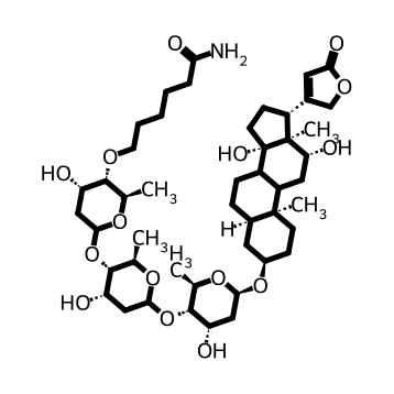 C[C@H]1OC(O[C@H]2[C@@H](O)CC(O[C@H]3[C@@H](O)C[C@H](O[C@@H]4CC[C@]5(C)C6C[C@@H](O)[C@]7(C)[C@@H](C8=CC(=O)OC8)CC[C@]7(O)C6CC[C@@H]5C4)O[C@@H]3C)O[C@@H]2C)C[C@H](O)[C@@H]1OCCCCCC(N)=O